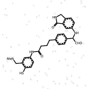 CNCc1cc(NC(=O)CCCc2ccc(C(C=O)Nc3ccc4c(c3)C(=O)NC4)cc2)ccc1S